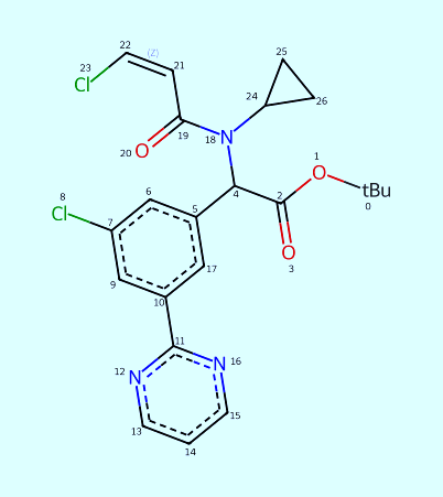 CC(C)(C)OC(=O)C(c1cc(Cl)cc(-c2ncccn2)c1)N(C(=O)/C=C\Cl)C1CC1